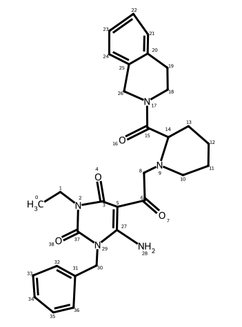 CCn1c(=O)c(C(=O)CN2CCCCC2C(=O)N2CCc3ccccc3C2)c(N)n(Cc2ccccc2)c1=O